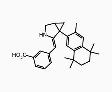 Cc1cc2c(cc1C13CC1CN/C3=C\c1cccc(C(=O)O)c1)C(C)(C)CCC2(C)C